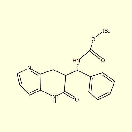 CC(C)(C)OC(=O)N[C@H](c1ccccc1)C1Cc2ncccc2NC1=O